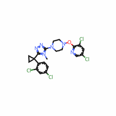 Cn1c(N2CCN(Oc3ncc(Cl)cc3Cl)CC2)nnc1C1(c2ccc(Cl)cc2Cl)CC1